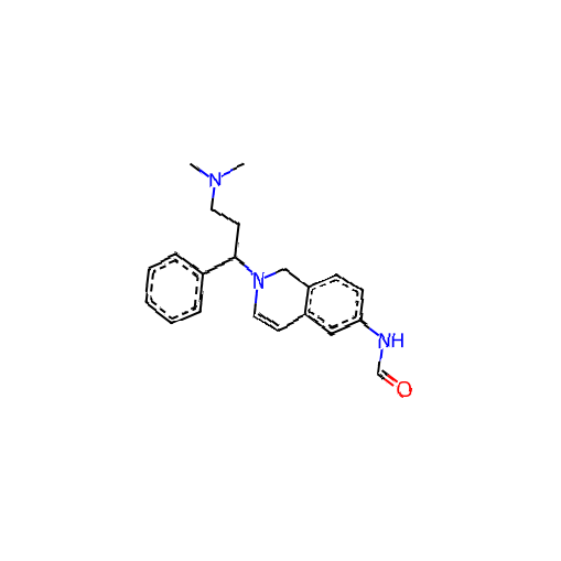 CN(C)CCC(c1ccccc1)N1C=Cc2cc(NC=O)ccc2C1